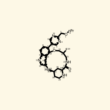 CCCOCc1ncc(-c2ccc3ncc4cc3c2OCC(F)CNC(=O)[C@@H]2C[C@H](CCN2)N4)cn1